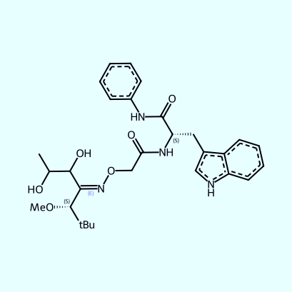 CO[C@H](/C(=N/OCC(=O)N[C@@H](Cc1c[nH]c2ccccc12)C(=O)Nc1ccccc1)C(O)C(C)O)C(C)(C)C